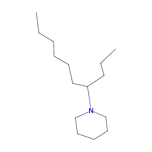 CCCCCCC(CCC)N1CCCCC1